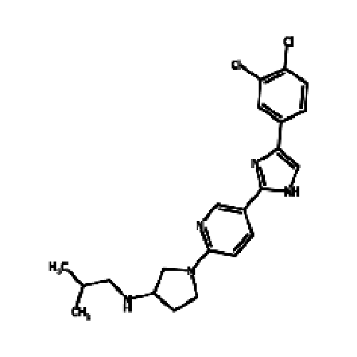 CC(C)CNC1CCN(c2ccc(-c3nc(-c4ccc(Cl)c(Cl)c4)c[nH]3)cn2)C1